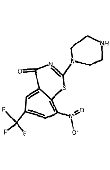 O=c1nc(N2CCNCC2)sc2c([N+](=O)[O-])cc(C(F)(F)F)cc12